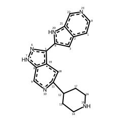 c1cc2cc(-c3n[nH]c4cnc(C5CCNCC5)cc34)[nH]c2cn1